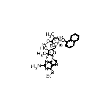 CCOc1nc(N)nc2c1ncn2[C@@H]1O[C@](F)(COP(=O)(N[C@@H](C)C(=O)OC(C)C)Oc2cccc3ccccc23)[C@@H](O)[C@@]1(C)F